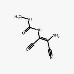 CNC(=O)NC(C#N)=C(N)C#N